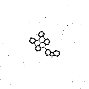 c1ccc2c(c1)-c1cccc3c1B1c4c(cccc4N3c3ccc4sc5ccccc5c4c3)-c3ccccc3N12